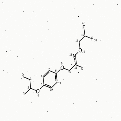 CCC(C)Oc1ccc(OCC(C)=NOCC(F)F)cc1